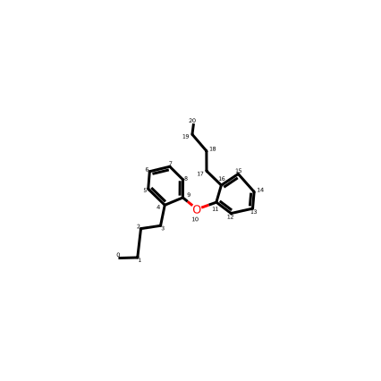 CCCCc1ccccc1Oc1ccccc1CCCC